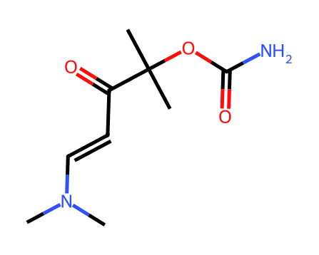 CN(C)C=CC(=O)C(C)(C)OC(N)=O